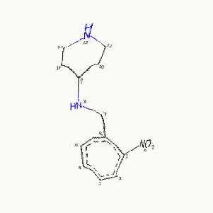 O=[N+]([O-])c1ccccc1CNC1CCNCC1